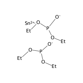 CCOP([O-])OCC.CCOP([O-])OCC.[Sn+2]